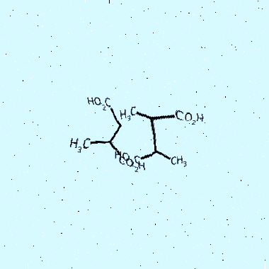 CC(C(=O)O)C(C)C(=O)O.CC(CC(=O)O)C(=O)O